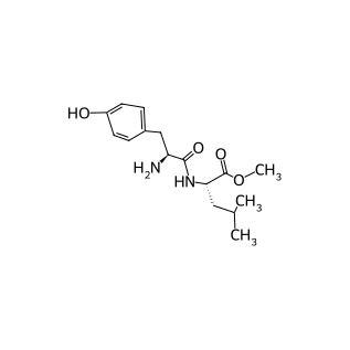 COC(=O)[C@H](CC(C)C)NC(=O)[C@@H](N)Cc1ccc(O)cc1